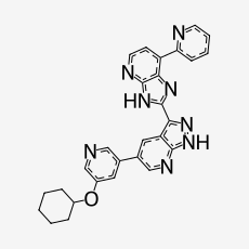 c1ccc(-c2ccnc3[nH]c(-c4n[nH]c5ncc(-c6cncc(OC7CCCCC7)c6)cc45)nc23)nc1